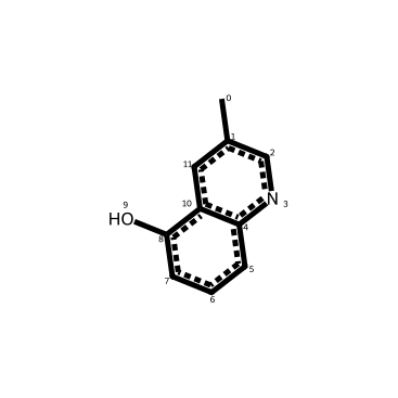 Cc1cnc2cccc(O)c2c1